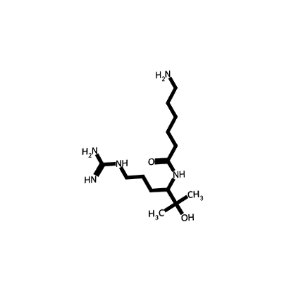 CC(C)(O)C(CCCNC(=N)N)NC(=O)CCCCCN